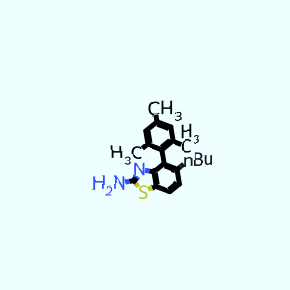 CCCCc1ccc2sc(N)nc2c1-c1c(C)cc(C)cc1C